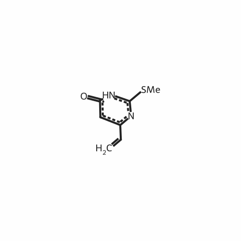 C=Cc1cc(=O)[nH]c(SC)n1